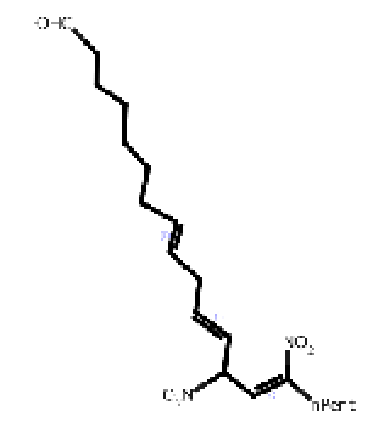 CCCCC/C(=C/C(/C=C/C/C=C/CCCCCC[C]=O)[N+](=O)[O-])[N+](=O)[O-]